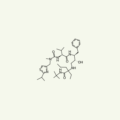 CCCC(CC)(NC[C@@H](O)[C@H](Cc1ccccc1)NC(=O)[C@@H](NC(=O)N(C)Cc1csc(C(C)C)n1)C(C)C)C(=O)NC(C)(C)C